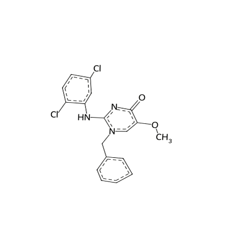 COc1cn(Cc2ccccc2)c(Nc2cc(Cl)ccc2Cl)nc1=O